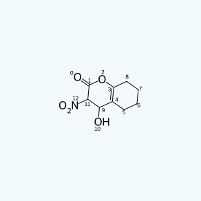 O=C1OC2=C(CCCC2)C(O)C1[N+](=O)[O-]